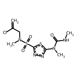 C=C(Cl)CN(C)S(=O)(=O)c1nnc(N(C)C(=O)NC)s1